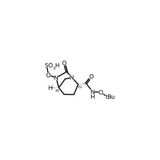 CC(C)(C)ONC(=O)[C@@H]1CC[C@@H]2CN1C(=O)N2OS(=O)(=O)O